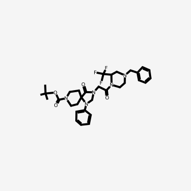 CC(C)(C)OC(=O)N1CCC2(CC1)C(=O)N(CC(=O)N1CCN(Cc3ccccc3)CC1C(F)(F)F)CN2c1ccccc1